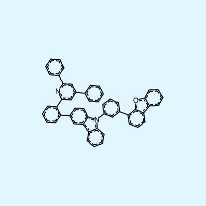 c1ccc(-c2cc(-c3ccccc3)nc(-c3ccccc3-c3ccc4c(c3)c3ccccc3n4-c3cccc(-c4cccc5c4oc4ccccc45)c3)c2)cc1